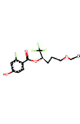 CCOCCC[C@@H](OC(=O)c1ccc(O)cc1F)C(F)(F)F